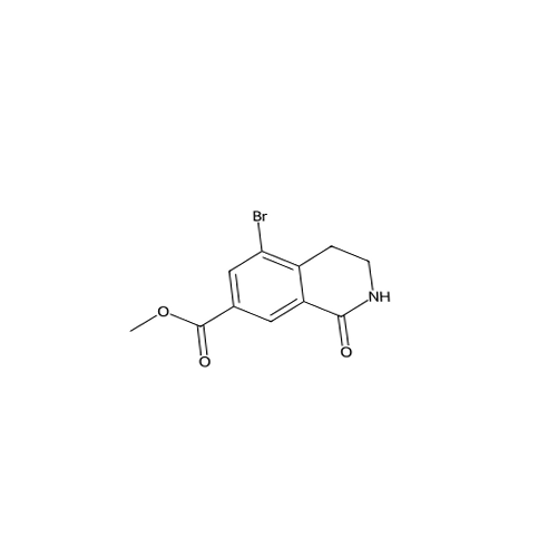 COC(=O)c1cc(Br)c2c(c1)C(=O)NCC2